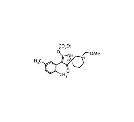 CCOC(=O)OC1=C(c2cc(C)ccc2C)C(=O)[C@@]2(CCC[C@H](COC)C2)N1